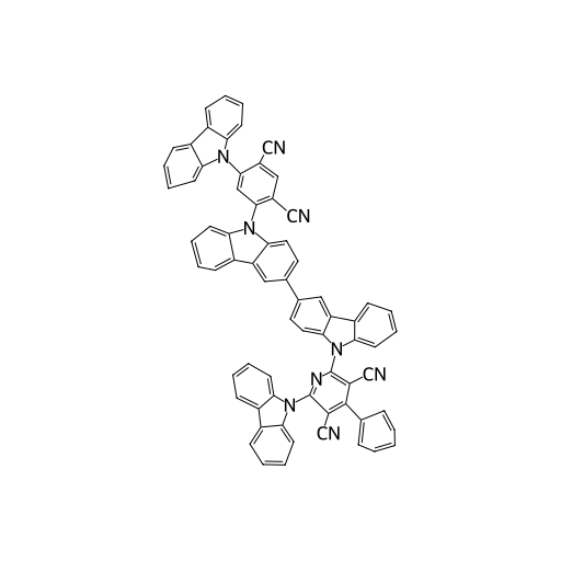 N#Cc1cc(C#N)c(-n2c3ccccc3c3cc(-c4ccc5c(c4)c4ccccc4n5-c4nc(-n5c6ccccc6c6ccccc65)c(C#N)c(-c5ccccc5)c4C#N)ccc32)cc1-n1c2ccccc2c2ccccc21